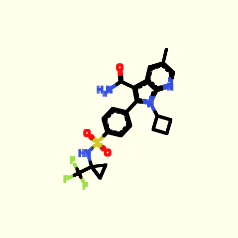 Cc1cnc2c(c1)c(C(N)=O)c(-c1ccc(S(=O)(=O)NC3(C(F)(F)F)CC3)cc1)n2C1CCC1